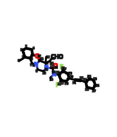 Cc1ccccc1CN1CCN(C(=O)N(C)c2c(F)cc(C#Cc3ccccc3)cc2F)C(C)(CC=O)C1=O